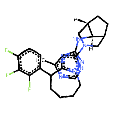 Cc1cc(N2CC3CC[C@@H](C2)[C@@H]3Nc2nc3n(n2)CCCCC3c2ccc(F)c(F)c2F)ncn1